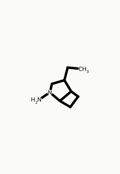 CCC1CN(N)C2CCC12